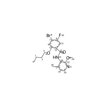 CCCCOc1cc(Br)c(F)cc1C(=O)Nc1c(C)ccnc1OC